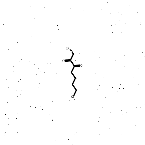 CC(C)(C)CC(=O)C(=O)CCCCCl